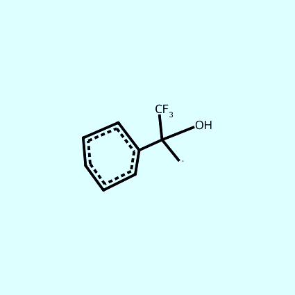 [CH2]C(O)(c1ccccc1)C(F)(F)F